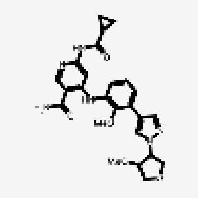 COc1c(Nc2cc(NC(=O)C3CC3)ncc2C(N)=O)cccc1-c1cnn(C2COCC2OC)c1